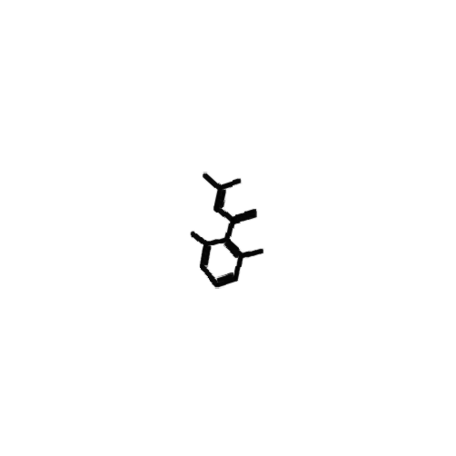 C=C(C=C(C)C)c1c(C)cccc1C